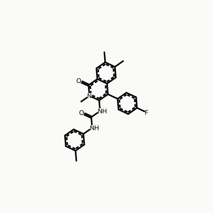 Cc1cccc(NC(=O)Nc2c(-c3ccc(F)cc3)c3cc(C)c(C)cc3c(=O)n2C)c1